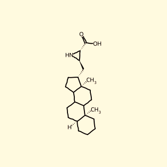 C[C@]12CCC3C(CC[C@@H]4CCCC[C@]34C)C1CC[C@@H]2C[C@H]1N[C@@H]1C(=O)O